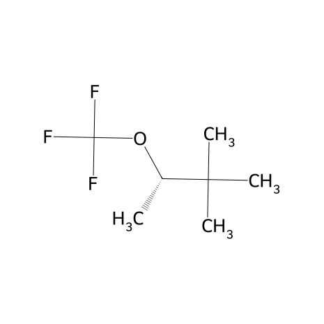 C[C@H](OC(F)(F)F)C(C)(C)C